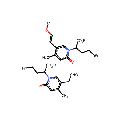 CCO/C=C/c1cn(C(CCC(C)C)C(=O)OCC)c(=O)cc1C.CCOC(=O)C(CCC(C)C)n1cc(CC=O)c(C)cc1=O